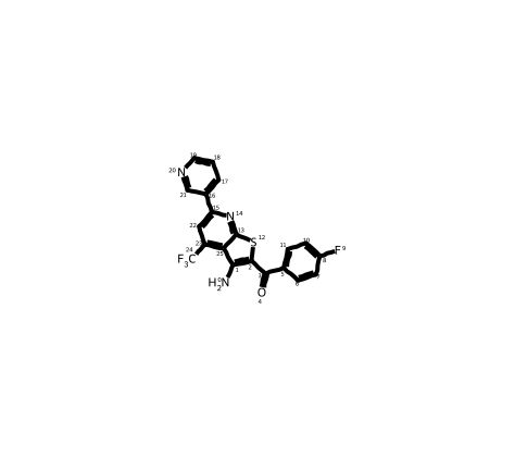 Nc1c(C(=O)c2ccc(F)cc2)sc2nc(-c3cccnc3)cc(C(F)(F)F)c12